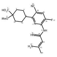 COC1(C(=O)O)CCC(c2nc(NC(=N)/C=C(/C)N)c(F)cc2C#N)CC1